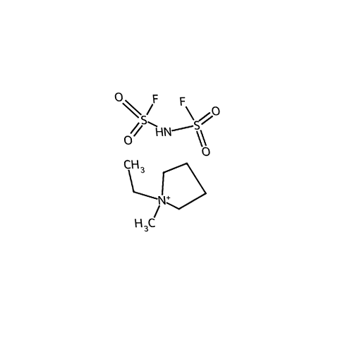 CC[N+]1(C)CCCC1.O=S(=O)(F)NS(=O)(=O)F